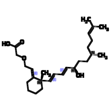 CC(C)=CCC[C@H](C)CC[C@@H](O)/C=C/C=C/[C@]1(C)CCCC/C1=C\COCC(=O)O